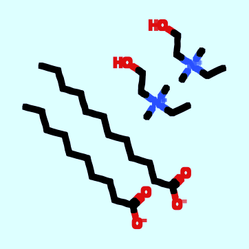 CCCCCCCCCC(=O)[O-].CCCCCCCCCCCC(=O)[O-].CC[N+](C)(C)CCO.CC[N+](C)(C)CCO